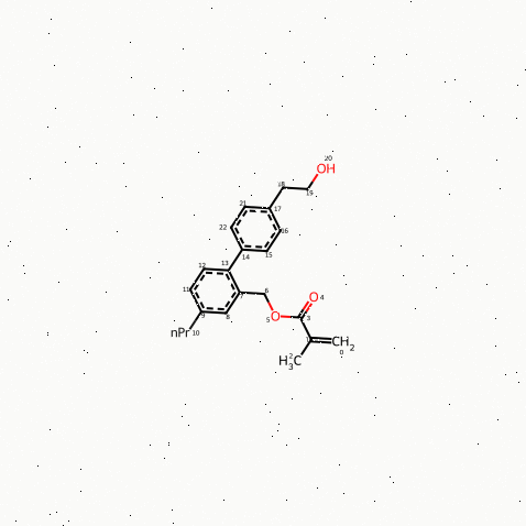 C=C(C)C(=O)OCc1cc(CCC)ccc1-c1ccc(CCO)cc1